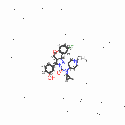 CN1CCC(N(C(=O)N2N=C3c4cc(F)ccc4OCC3C2c2cccc(O)c2)C2CC2)CC1